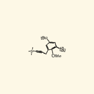 COc1c(CC#C[Si](C)(C)C)cc(C(C)(C)C)cc1C(C)(C)C